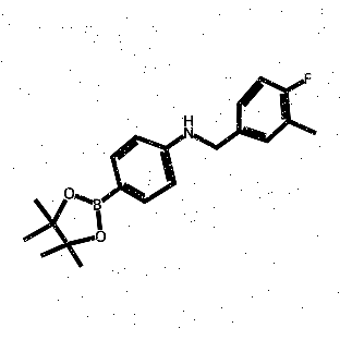 Cc1cc(CNc2ccc(B3OC(C)(C)C(C)(C)O3)cc2)ccc1F